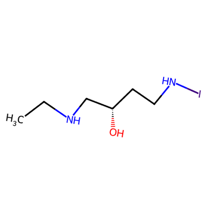 CCNC[C@@H](O)CCNI